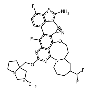 C[C@H]1CN2CCCC2(COc2nc3c4c(c(Cl)c(-c5ccc(F)c6sc(N)c(C#N)c56)c(F)c4n2)OCCC2CC(C(F)F)CCCN32)C1